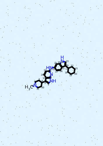 CN1CCC(c2c[nH]c3nc(Nc4ccc5c(C6CCCCC6)c[nH]c5c4)ccc23)CC1